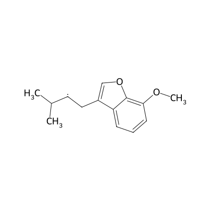 COc1cccc2c(C[CH]C(C)C)coc12